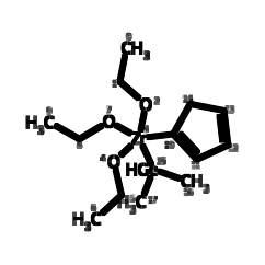 CC[O][Zr]([O]CC)([O]CC)([C]1=CC=CC1)[GeH]([CH3])[CH3]